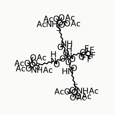 CC(=O)NC1C(SCCCCCCNC(=O)CCOCC(COCCC(=O)NCCCCCCSC2OC(COC(C)=O)C(OC(C)=O)C(OC(C)=O)C2NC(C)=O)(COCCC(=O)NCCCCCCSC2OC(COC(C)=O)C(OC(C)=O)C(OC(C)=O)[C@@H]2NC(C)=O)NC(=O)CCCC(=O)Oc2c(F)c(F)c(F)c(F)c2F)OC(COC(C)=O)C(OC(C)=O)C1OC(C)=O